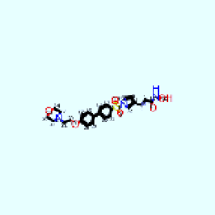 O=C(/C=C/c1ccn(S(=O)(=O)c2ccc(-c3ccc(OCCN4CCOCC4)cc3)cc2)c1)NO